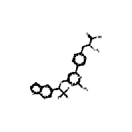 Nc1nc(OC(c2ccc3occc3c2)C(F)(F)F)cc(-c2ccc(C[C@H](N)C(=O)O)cc2)n1